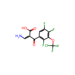 NC=C(C(=O)O)C(=O)c1cc(F)c(F)c(OC(F)(F)Cl)c1F